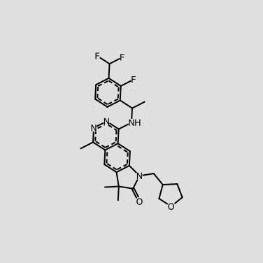 Cc1nnc(NC(C)c2cccc(C(F)F)c2F)c2cc3c(cc12)C(C)(C)C(=O)N3CC1CCOC1